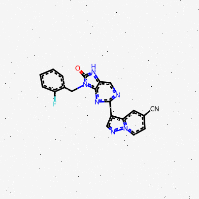 N#Cc1ccn2ncc(-c3ncc4[nH]c(=O)n(Cc5ccccc5F)c4n3)c2c1